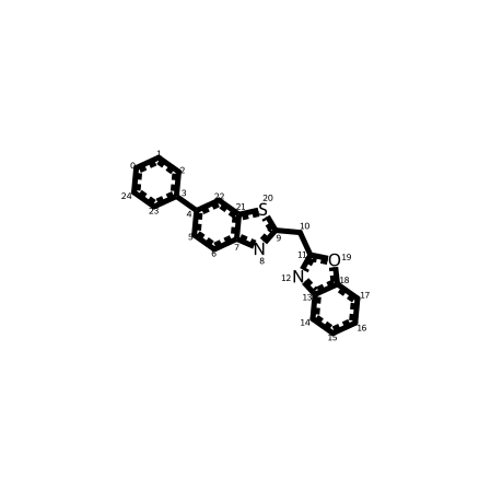 c1ccc(-c2ccc3nc(Cc4nc5ccccc5o4)sc3c2)cc1